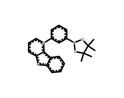 CC1(C)OB(c2cccc(-n3cccc4nc5ccccc5c3-4)c2)OC1(C)C